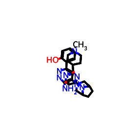 CN1CCC(c2nccc(N3C4CCC3CN(c3cc(-c5ccccc5O)nnc3N)C4)n2)CC1